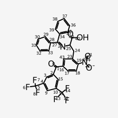 O=C(c1cc(C(F)(F)F)cc(C(F)(F)F)c1)c1ccc([N+](=O)[O-])c(CC(N=C(c2ccccc2)c2ccccc2)C(=O)O)c1